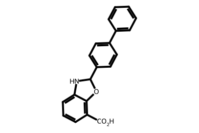 O=C(O)c1cccc2c1OC(c1ccc(-c3ccccc3)cc1)N2